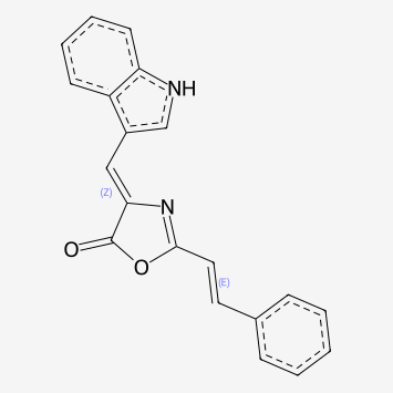 O=C1OC(/C=C/c2ccccc2)=NC/1=C\c1c[nH]c2ccccc12